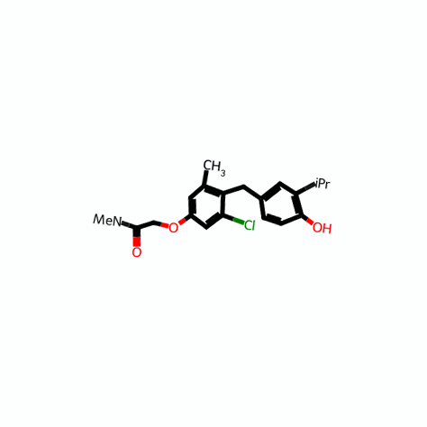 CNC(=O)COc1cc(C)c(Cc2ccc(O)c(C(C)C)c2)c(Cl)c1